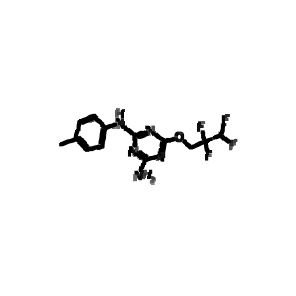 Cc1ccc(Nc2nc(N)nc(OCC(F)(F)C(F)F)n2)cc1